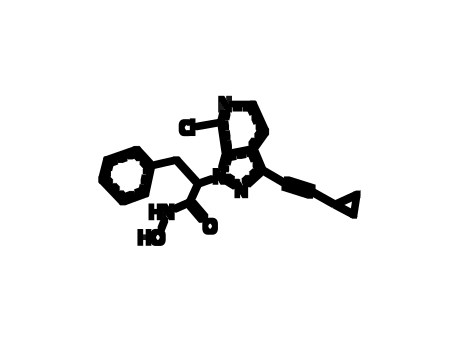 O=C(NO)C(Cc1ccccc1)n1nc(C#CC2CC2)c2ccnc(Cl)c21